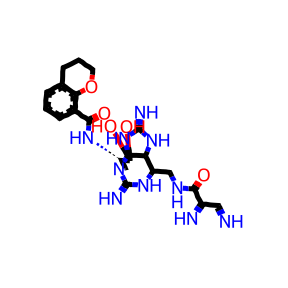 N=CC(=N)C(=O)NCC1NC(=N)N2C[C@H](NC(=O)c3cccc4c3OCCC4)C(O)(O)C23NC(=N)NC13